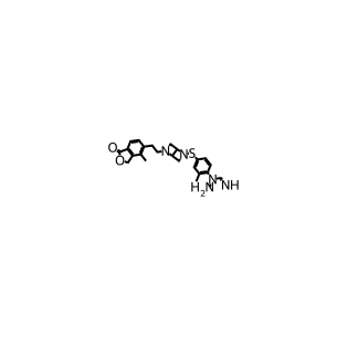 Cc1cc(SN2CC3C2CN3CCc2ccc3c(c2C)COC3=O)ccc1N(N)C=N